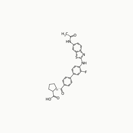 CC(=O)Nc1ccc2nc(Nc3ccc(-c4ccc(C(=O)[C@H]5CCCC5C(=O)O)cc4)cc3F)sc2c1